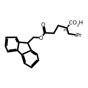 CC(C)C[C@@H](CCC(=O)OCC1c2ccccc2-c2ccccc21)C(=O)O